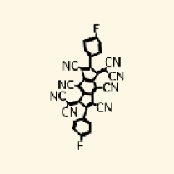 N#CC(C#N)=C1C(c2ccc(F)cc2)=C(C#N)c2c(C#N)c3c(c(C#N)c21)C(C#N)=C(c1ccc(F)cc1)C3=C(C#N)C#N